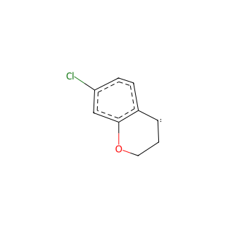 Clc1ccc2c(c1)OCC[C]2